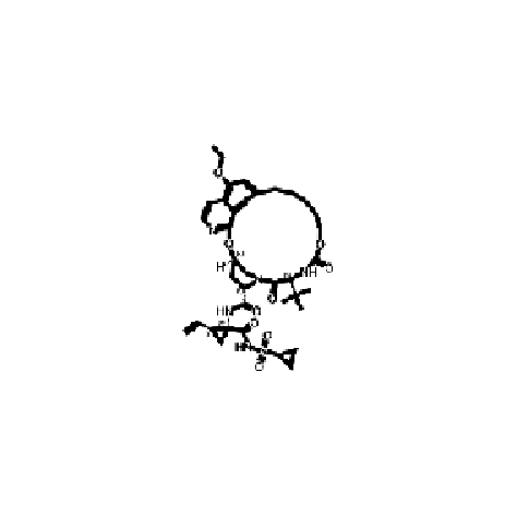 C=C[C@@H]1C[C@]1(NC(=O)[C@@H]1C[C@@H]2CN1C(=O)[C@H](C(C)(C)C)NC(=O)OCCCCCc1cc(OCC)c3ccnc(c3c1)O2)C(=O)NS(=O)(=O)C1CC1